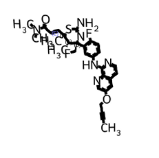 CC#CCOc1cnc2c(Nc3ccc(F)c([C@@]4(CF)N=C(N)S[C@](C)(/C=C/C(=O)N(C)C)[C@H]4C)c3)nccc2c1